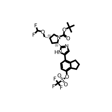 CC(C)(C)OC(=O)N1C[C@@H](COC(F)F)C[C@H]1c1ncc(-c2ccc(OS(=O)(=O)C(F)(F)F)c3c2CCC3)[nH]1